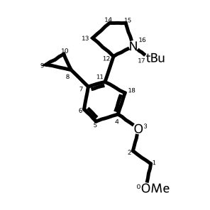 COCCOc1ccc(C2CC2)c(C2CCCN2C(C)(C)C)c1